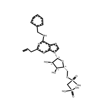 C=CCc1nc(NCc2ccccc2)c2ncn([C@@H]3O[C@H](COP(=O)(O)CP(=O)(O)O)[C@@H](O)[C@H]3O)c2n1